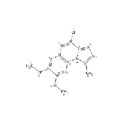 COc1cc2nc(Cl)c3nnc(C)n3c2cc1OC